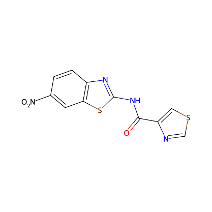 O=C(Nc1nc2ccc([N+](=O)[O-])cc2s1)c1cscn1